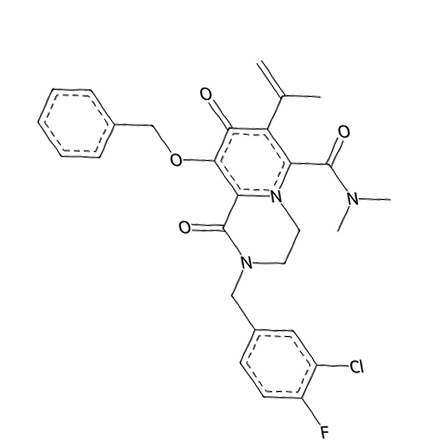 C=C(C)c1c(C(=O)N(C)C)n2c(c(OCc3ccccc3)c1=O)C(=O)N(Cc1ccc(F)c(Cl)c1)CC2